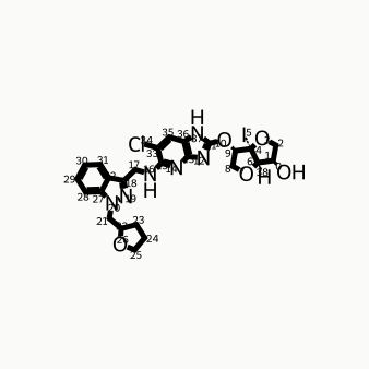 O[C@@H]1CO[C@@]2(I)[C@@H]1OC[C@H]2Oc1nc2nc(NCc3nn(CC4CCCO4)c4ccccc34)c(Cl)cc2[nH]1